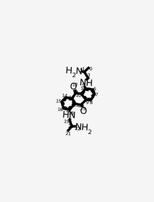 CC(N)CNc1cccc2c1C(=O)c1cccc(NCC(C)N)c1C2=O